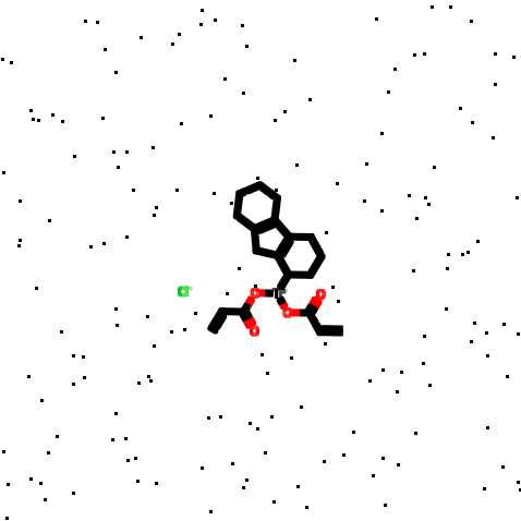 C=CC(=O)[O][Ti+]([O]C(=O)C=C)[CH]1CCCC2=C1CC1=C2CCCC1.[Cl-]